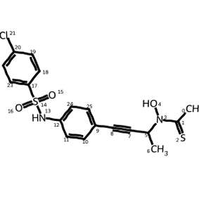 CC(=S)N(O)C(C)C#Cc1ccc(NS(=O)(=O)c2ccc(Cl)cc2)cc1